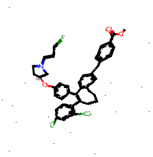 COC(=O)c1ccc(-c2ccc3c(c2)CCCC(c2ccc(Cl)cc2Cl)=C3c2ccc(O[C@H]3CCN(CCCF)C3)cc2)cc1